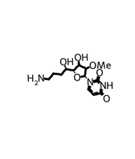 COC1C(O)[C@@H]([C@H](O)CCCN)O[C@H]1n1ccc(=O)[nH]c1=O